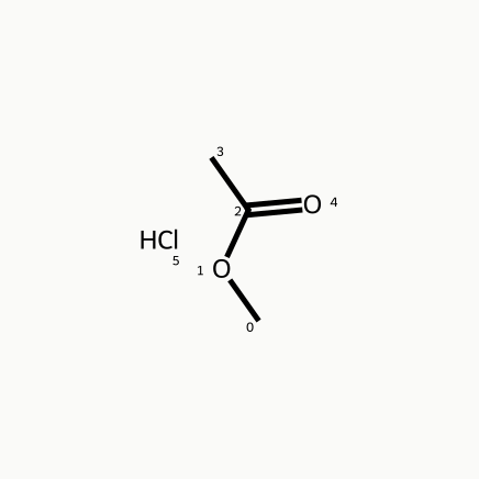 COC(C)=O.Cl